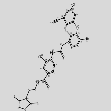 CC1CCC(C)N1CCNC(=O)c1ccc(NC(=O)Cc2ccc(Br)c(Oc3cc(Cl)cc(C#N)c3)c2F)c(Cl)c1